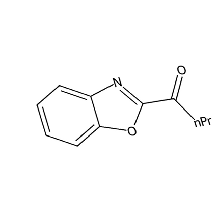 [CH2]CCC(=O)c1nc2ccccc2o1